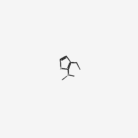 CCc1ccsc1N(C)C